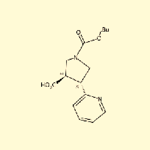 CC(C)(C)OC(=O)N1C[C@H](C(=O)O)[C@@H](c2ccccn2)C1